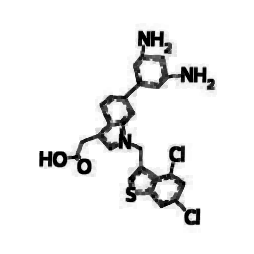 Nc1cc(N)cc(-c2ccc3c(CC(=O)O)cn(Cc4csc5cc(Cl)cc(Cl)c45)c3c2)c1